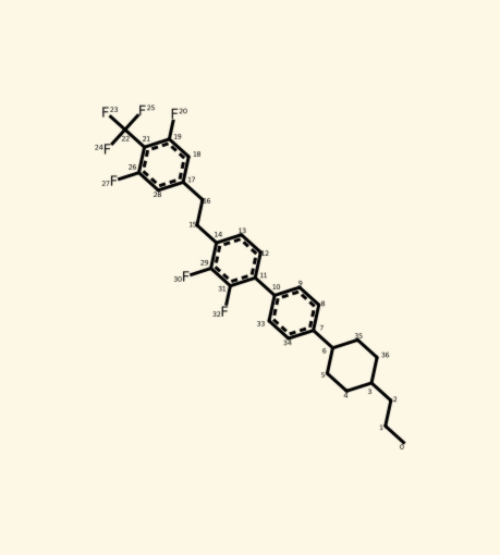 CCCC1CCC(c2ccc(-c3ccc(CCc4cc(F)c(C(F)(F)F)c(F)c4)c(F)c3F)cc2)CC1